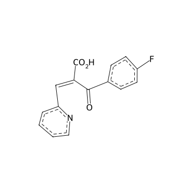 O=C(O)C(=Cc1ccccn1)C(=O)c1ccc(F)cc1